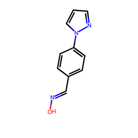 ON=Cc1ccc(-n2cccn2)cc1